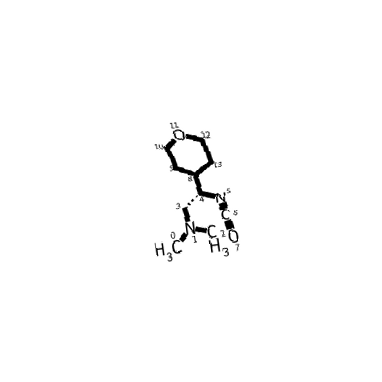 CN(C)C[C@@H](N=C=O)C1CCOCC1